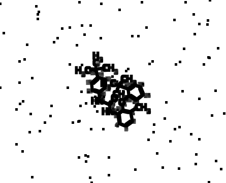 Cc1cccc(NC(=O)Nc2ccc(C(C)(C)C)cc2)c1Oc1ccccc1C(C)(C)C